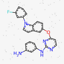 Nc1cccc(Nc2nccc(Oc3ccc4c(ccn4-c4cccc(F)c4)c3)n2)c1